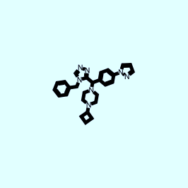 c1ccc(Cn2cnnc2C(c2ccc(-n3cccn3)cc2)N2CCN(C3CCC3)CC2)cc1